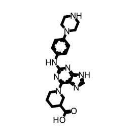 O=C(O)C1CCCN(c2nc(Nc3ccc(N4CCNCC4)cc3)nc3[nH]cnc23)C1